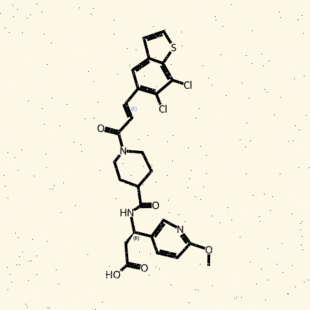 COc1ccc([C@@H](CC(=O)O)NC(=O)C2CCN(C(=O)/C=C/c3cc4ccsc4c(Cl)c3Cl)CC2)cn1